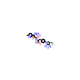 Cc1ccc2c(N)c(C(=O)N[C@H]3COc4cc(N5C[C@@H](CF)[C@@H](N)C5)ccc4C3)sc2n1